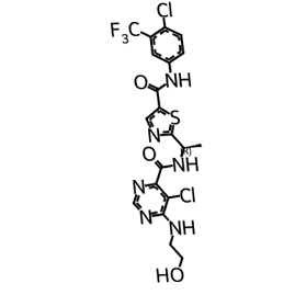 C[C@@H](NC(=O)c1ncnc(NCCO)c1Cl)c1ncc(C(=O)Nc2ccc(Cl)c(C(F)(F)F)c2)s1